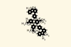 CC(C)(C)c1ccc2c(c1)B1c3ccc(C(C)(C)C)cc3N(c3ccc(-c4cccc5c4-c4ccccc4C5(C)C)cc3)c3cc(C(C)(C)C)cc(c31)N2c1ccc(-c2cccc3c2-c2ccccc2C3(C)C)cc1